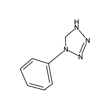 [c]1cccc(N2CNN=N2)c1